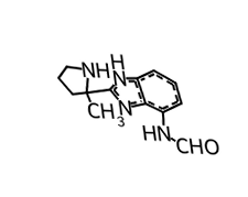 CC1(c2nc3c(NC=O)cccc3[nH]2)CCCN1